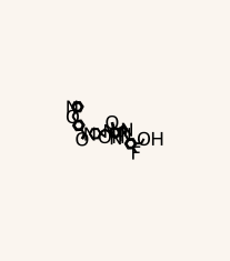 O=C(c1ccc(Oc2ccccn2)cc1)N1CCC(O)(Cn2cnc3c(cnn3-c3ccc(F)c(CO)c3)c2=O)CC1